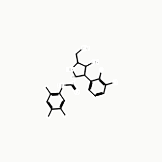 Cc1cc(C)c(NC(=O)[C@@H]2NC(CC(C)(C)C)C(C#N)C2c2cccc(Cl)c2F)cc1C